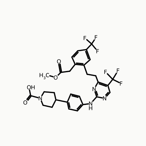 COC(=O)Cc1ccc(C(F)(F)F)cc1CCc1nc(Nc2ccc(C3CCN(C(=O)O)CC3)cc2)ncc1C(F)(F)F